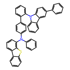 c1ccc(-c2ccc3c(c2)c2ccccc2n3-c2ccccc2-c2ccc(N(c3ccccc3)c3cccc4c3sc3ccccc34)cc2)cc1